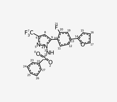 O=S(=O)(Nn1nc(C(F)(F)F)cc1-c1ccc(-c2ccco2)cc1F)c1ccccc1